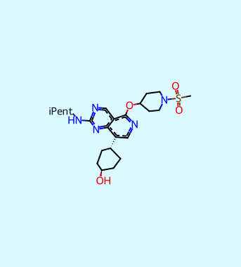 CCCC(C)Nc1ncc2c(OC3CCN(S(C)(=O)=O)CC3)ncc([C@H]3CC[C@H](O)CC3)c2n1